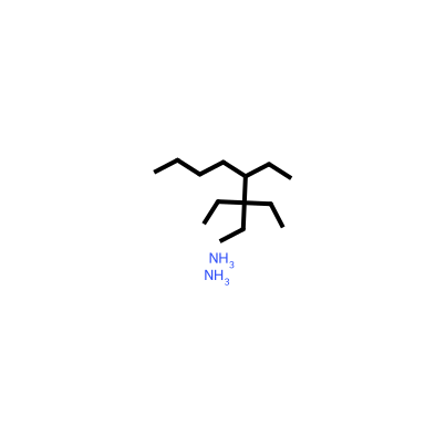 CCCCC(CC)C(CC)(CC)CC.N.N